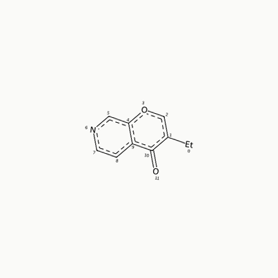 CCc1coc2cnccc2c1=O